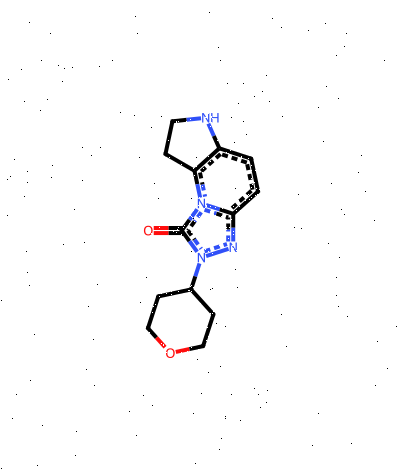 O=c1n(C2CCOCC2)nc2ccc3c(n12)CCN3